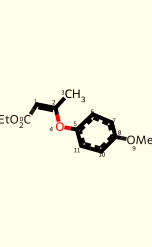 CCOC(=O)/C=C(/C)Oc1ccc(OC)cc1